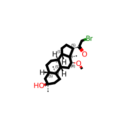 CO[C@@H]1C[C@H]2[C@@H](CC[C@H]3C[C@](C)(O)CC[C@@]32C)[C@@H]2CC[C@H](C(=O)CBr)[C@@]12C